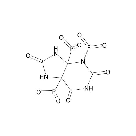 O=C1NC2(P(=O)=O)C(=O)NC(=O)N(P(=O)=O)C2(P(=O)=O)N1